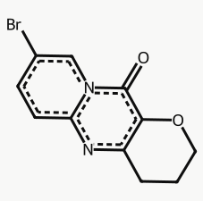 O=c1c2c(nc3ccc(Br)cn13)CCCO2